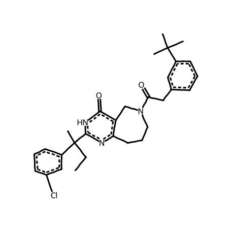 CCC(C)(c1cccc(Cl)c1)c1nc2c(c(=O)[nH]1)CN(C(=O)Cc1cccc(C(C)(C)C)c1)CCC2